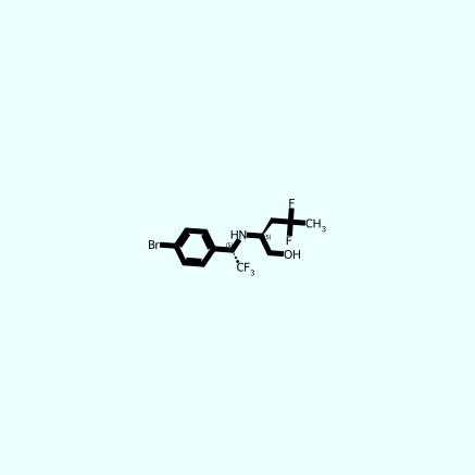 CC(F)(F)C[C@@H](CO)N[C@@H](c1ccc(Br)cc1)C(F)(F)F